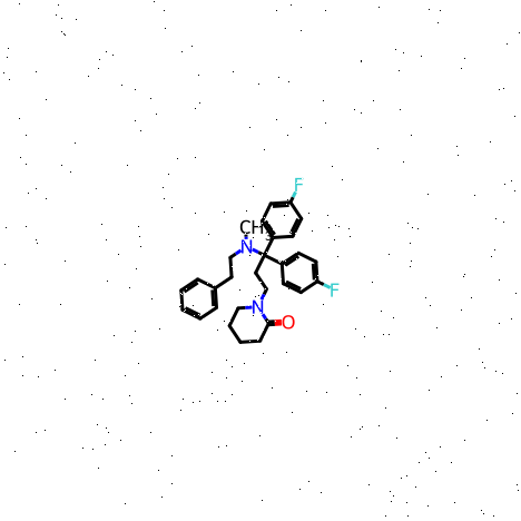 CN(CCc1ccccc1)C(CCN1CCCCC1=O)(c1ccc(F)cc1)c1ccc(F)cc1